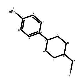 CCCc1ccc(C2CCC(CI)CC2)cc1